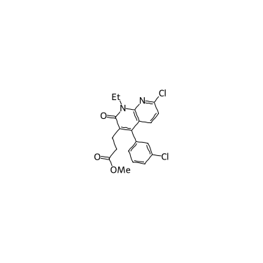 CCn1c(=O)c(CCC(=O)OC)c(-c2cccc(Cl)c2)c2ccc(Cl)nc21